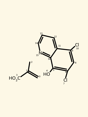 C=C(C)C(=O)O.Oc1c(Cl)cc(Cl)c2cccnc12